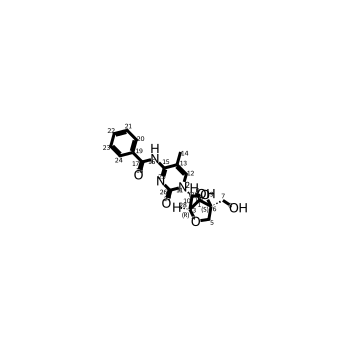 [2H][C@]1(O)[C@H]2OC[C@]1(CO)O[C@H]2n1cc(C)c(NC(=O)c2ccccc2)nc1=O